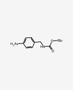 CC(C)(C)OC(=O)NCc1ccc([AsH2])cc1